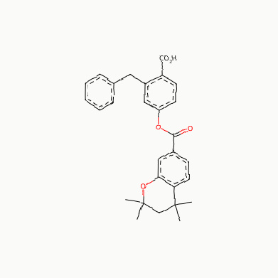 CC1(C)CC(C)(C)c2ccc(C(=O)Oc3ccc(C(=O)O)c(Cc4ccccc4)c3)cc2O1